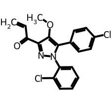 C=CC(=O)c1nn(-c2ccccc2Cl)c(-c2ccc(Cl)cc2)c1OC